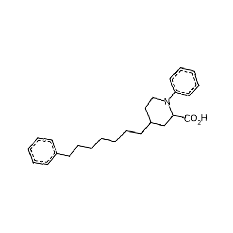 O=C(O)C1CC(CCCCCCCc2ccccc2)CCN1c1ccccc1